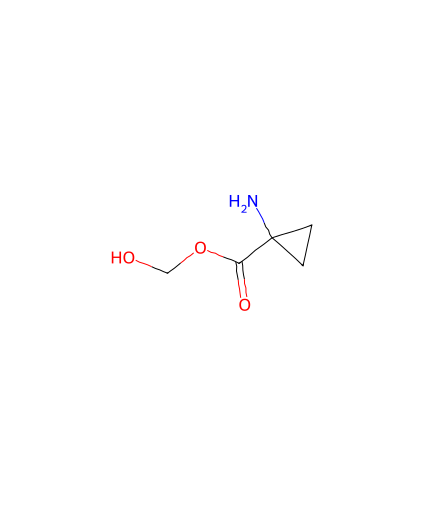 NC1(C(=O)OCO)CC1